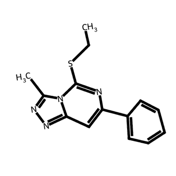 CCSc1nc(-c2ccccc2)cc2nnc(C)n12